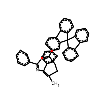 C\C1=C(c2ccccc2)/N=C(c2ccccc2)\N=C(\c2ccc3c(c2)C2(c4ccccc4-c4ccccc42)c2ccccc2-3)CC1